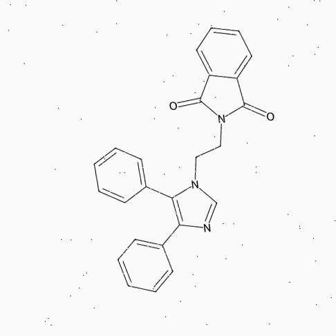 O=C1c2ccccc2C(=O)N1CCn1cnc(-c2ccccc2)c1-c1ccccc1